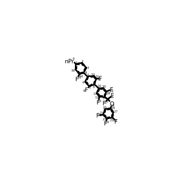 CCCc1ccc(-c2cc(F)c(-c3cc(F)c(C(F)(F)Oc4cc(F)c(F)c(F)c4)c(F)c3)c(F)c2)c(F)c1